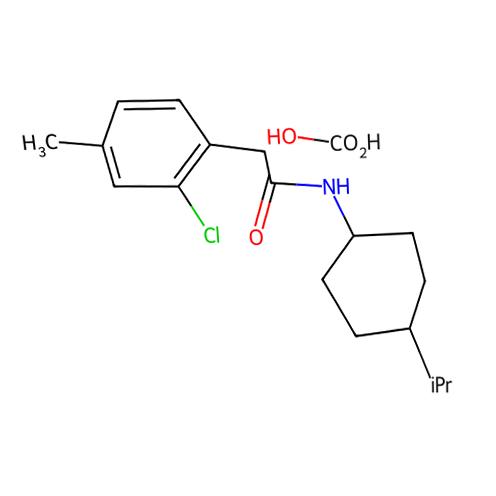 Cc1ccc(CC(=O)NC2CCC(C(C)C)CC2)c(Cl)c1.O=C(O)O